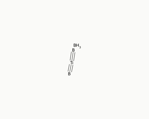 B.[B]#[Ti]#[B]